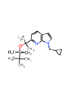 CC(C)(O[Si](C)(C)C(C)(C)C)c1ccc2ccn(CC3CC3)c2n1